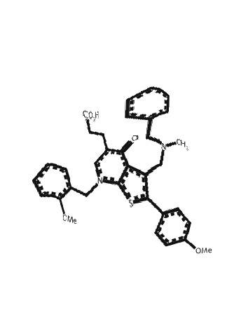 COc1ccc(-c2sc3c(c2CN(C)Cc2ccccc2)c(=O)c(CCC(=O)O)cn3Cc2ccccc2OC)cc1